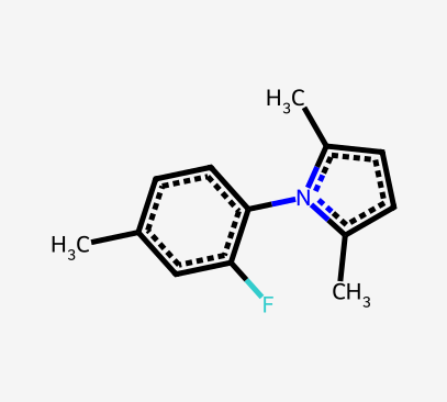 Cc1ccc(-n2c(C)ccc2C)c(F)c1